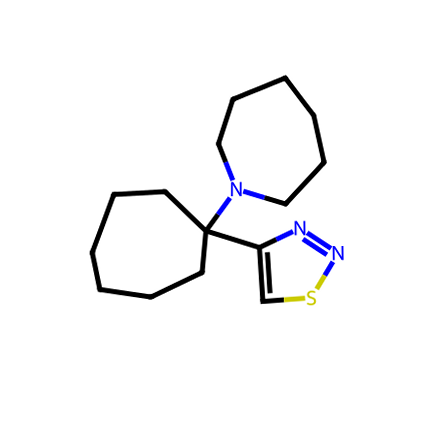 c1snnc1C1(N2CCCCCC2)CCCCCC1